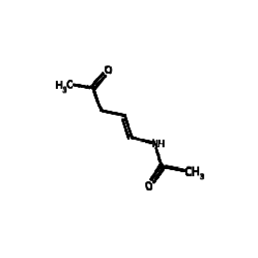 CC(=O)CC=CNC(C)=O